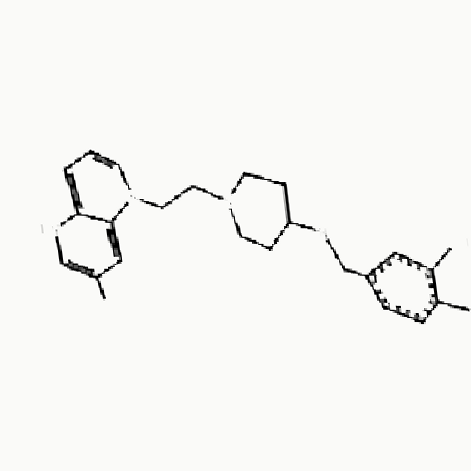 Cc1ccc(CNC2CCN(CCN3C=CC=C4NC=C(F)C=C43)CC2)cc1C